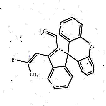 C=CC1=C(/C=C(\C)Br)c2ccccc2C12c1ccccc1Oc1ccccc12